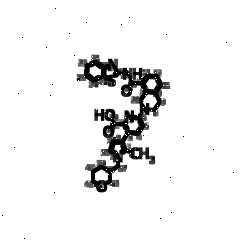 Cc1c(-c2ccc(N3CCc4cccc(C(=O)Nc5nc6ccccc6s5)c4C3)nc2C(=O)O)ccn1CC1CCCOC1